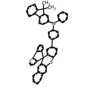 CC1(C)c2ccccc2-c2ccc(N(c3ccccc3)c3ccc(-c4ccc5c(c4)C4(c6cc7ccccc7cc6S5)c5ccccc5-c5ccccc54)cc3)cc21